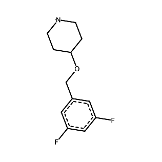 Fc1cc(F)cc(COC2CC[N]CC2)c1